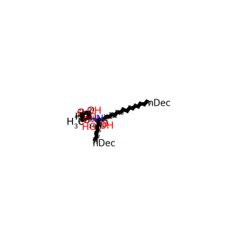 CCCCCCCCCCCCCCCCCCCCCCCCCC(=O)N[C@@H](CO[C@@H]1OC(C)[C@H]2OC2[C@@H]1O)[C@H](O)[C@H](O)CCCCCCCCCCCCCC